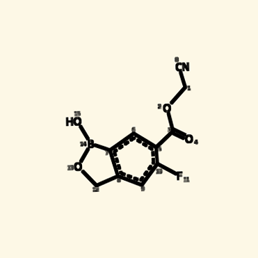 N#CCOC(=O)c1cc2c(cc1F)COB2O